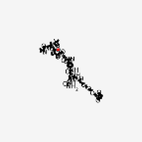 CC[C@H](C)[C@@H]([C@@H](CC(=O)N1CCC[C@H]1[C@H](OC)[C@@H](C)C(=O)NCC(=O)NS(=O)(=O)c1ccc(NC(=O)[C@H](CCCNC(N)=O)NC(=O)CNC(=O)CCOCCOCCOCCN2C(=O)C=CC2=O)cc1)OC)N(C)C(=O)CNC(=O)C(C(C)C)N(C)C